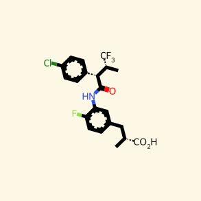 C[C@H](Cc1ccc(F)c(NC(=O)[C@H](c2ccc(Cl)cc2)[C@@H](C)C(F)(F)F)c1)C(=O)O